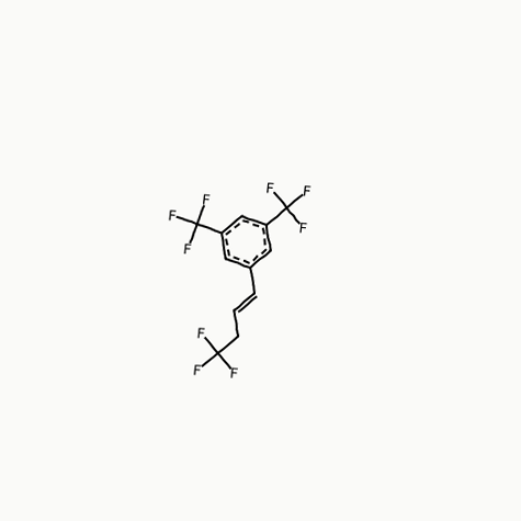 FC(F)(F)CC=Cc1cc(C(F)(F)F)cc(C(F)(F)F)c1